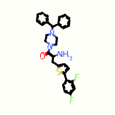 NC(Cc1ccc(-c2ccc(F)cc2F)s1)C(=O)N1CCN(C(c2ccccc2)c2ccccc2)CC1